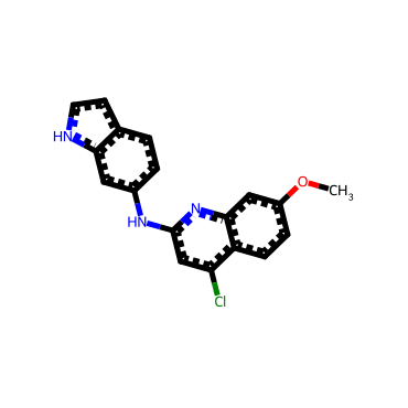 COc1ccc2c(Cl)cc(Nc3ccc4cc[nH]c4c3)nc2c1